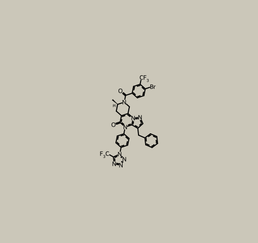 C[C@@H]1Cc2c(n3ncc(Cc4ccccc4)c3n(-c3ccc(-n4nnnc4C(F)(F)F)cc3)c2=O)CN1C(=O)c1ccc(Br)c(C(F)(F)F)c1